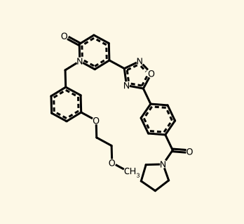 COCCOc1cccc(Cn2cc(-c3noc(-c4ccc(C(=O)N5CCCC5)cc4)n3)ccc2=O)c1